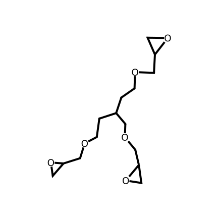 C(CC(CCOCC1CO1)COCC1CO1)OCC1CO1